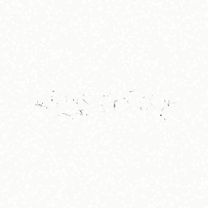 N=C(N)c1cc2ccc(-c3ccc(-c4cn5cc(C6=NCCCN6)ccc5n4)cc3)cc2o1